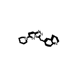 c1cnc2ccc(Cc3nnc4ccc(N5CCCCC5)nn34)cc2c1